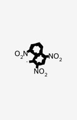 [CH2]c1c([N+](=O)[O-])cc([N+](=O)[O-])c2cccc([N+](=O)[O-])c12